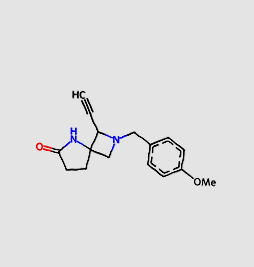 C#CC1N(Cc2ccc(OC)cc2)CC12CCC(=O)N2